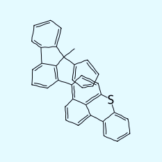 CC1(c2ccccc2)c2ccccc2-c2cccc(-c3ccc4c5c(cccc35)-c3ccccc3S4)c21